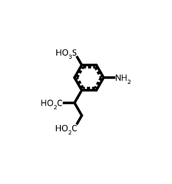 Nc1cc(C(CC(=O)O)C(=O)O)cc(S(=O)(=O)O)c1